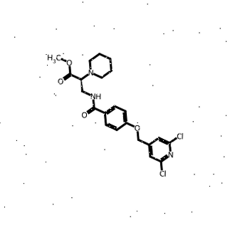 COC(=O)[C@H](CNC(=O)c1ccc(OCc2cc(Cl)nc(Cl)c2)cc1)N1CCCCC1